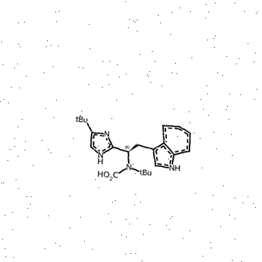 CC(C)(C)c1c[nH]c([C@@H](Cc2c[nH]c3ccccc23)N(C(=O)O)C(C)(C)C)n1